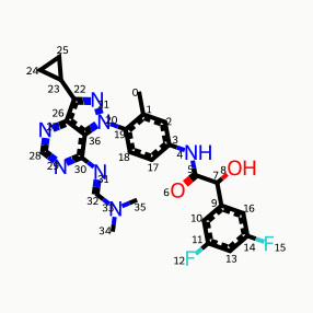 Cc1cc(NC(=O)C(O)c2cc(F)cc(F)c2)ccc1-n1nc(C2CC2)c2ncnc(/N=C/N(C)C)c21